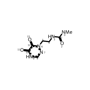 CNC(=O)NCCn1n[c][nH]c(=O)c1=O